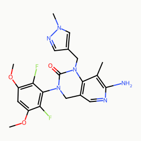 COc1cc(OC)c(F)c(N2Cc3cnc(N)c(C)c3N(Cc3cnn(C)c3)C2=O)c1F